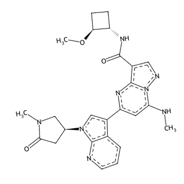 CNc1cc(-c2cn([C@H]3CC(=O)N(C)C3)c3ncccc23)nc2c(C(=O)N[C@H]3CC[C@@H]3OC)cnn12